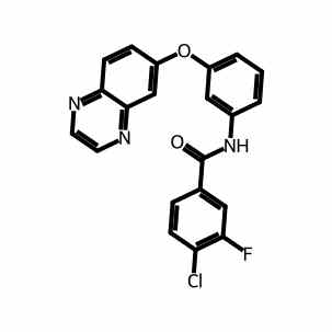 O=C(Nc1cccc(Oc2ccc3nccnc3c2)c1)c1ccc(Cl)c(F)c1